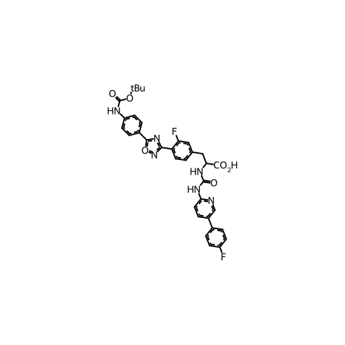 CC(C)(C)OC(=O)Nc1ccc(-c2nc(-c3ccc(CC(NC(=O)Nc4ccc(-c5ccc(F)cc5)cn4)C(=O)O)cc3F)no2)cc1